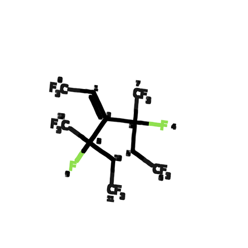 FC(F)(F)C=C(C(F)(CC(F)(F)F)C(F)(F)F)C(F)(CC(F)(F)F)C(F)(F)F